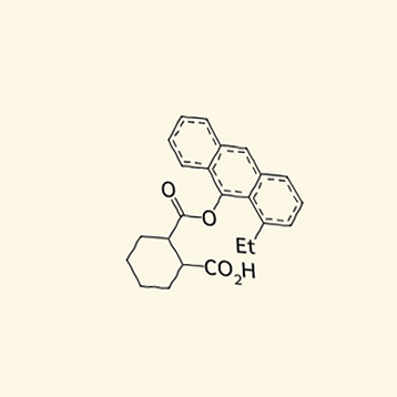 CCc1cccc2cc3ccccc3c(OC(=O)C3CCCCC3C(=O)O)c12